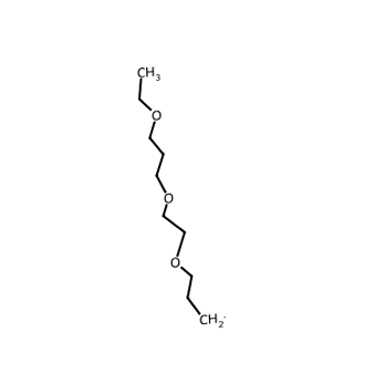 [CH2]CCOCCOCCCOCC